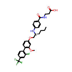 CCCC[C@@H](COc1ccc(-c2ccc(C(F)(F)F)cc2F)c(OC)c1)Nc1ccc(C(=O)NCCC(=O)O)cc1